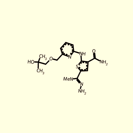 CN/C(=N\N)c1cc(C(N)=O)c(Nc2cccc(COCC(C)(C)O)n2)s1